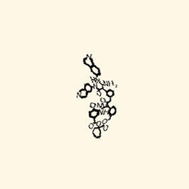 COc1ccc(C(=O)OC2(C(=O)OCc3cccc(C(CN)C(=O)Cc4cccc(C(C(=O)Nc5ccc6cnccc6c5)C(N)Nc5ccc6cnccc6c5)c4)c3)CCCCC2)cc1